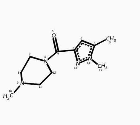 Cc1cc(C(=O)N2CCN(C)CC2)nn1C